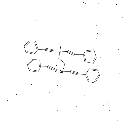 C[Si](C#Cc1ccccc1)(C#Cc1ccccc1)CC[Si](C)(C#Cc1ccccc1)C#Cc1ccccc1